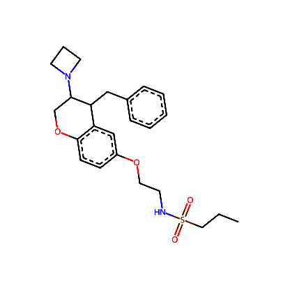 CCCS(=O)(=O)NCCOc1ccc2c(c1)C(Cc1ccccc1)C(N1CCC1)CO2